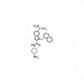 CC(N)c1ccc2cc(C(=O)NC3CCC(N)CC3)n(Cc3cccc4ccccc34)c2c1